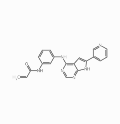 C=CC(=O)Nc1cccc(Nc2ncnc3[nH]c(-c4cccnc4)cc23)c1